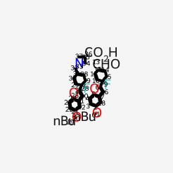 CCCCOc1ccc2oc(C3(F)C=CC(C=O)=CC3)cc2c1.CCCCOc1ccc2oc(C3(F)C=CC(CN4CC(C(=O)O)C4)=CC3)cc2c1